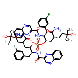 CC(C)(O)CC[C@H](C[C@@H](OS(=O)(=O)O[C@H](C[C@@H](CCC(C)(C)O)C(N)=O)[C@H](Cc1cccc(F)c1)NC(=O)c1cnc2ccccc2n1)[C@H](Cc1cccc(F)c1)NC(=O)c1cnc2ccccc2n1)C(N)=O